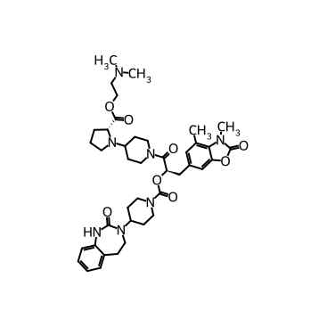 Cc1cc(C[C@@H](OC(=O)N2CCC(N3CCc4ccccc4NC3=O)CC2)C(=O)N2CCC(N3CCC[C@@H]3C(=O)OCCN(C)C)CC2)cc2oc(=O)n(C)c12